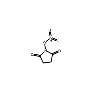 O=C1CCC(=O)N1O[SH](=O)=O